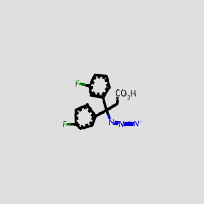 [N-]=[N+]=NC(CC(=O)O)(c1ccc(F)cc1)c1cccc(F)c1